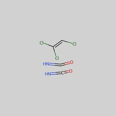 ClC=C(Cl)Cl.N=C=O.N=C=O